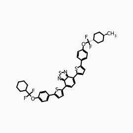 C[C@H]1CC[C@H](C(F)(F)Oc2ccc(-c3ccc(-c4ccc(-c5ccc(-c6ccc(OC(F)(F)C7CCCCC7)cc6)s5)c5nsnc45)s3)cc2)CC1